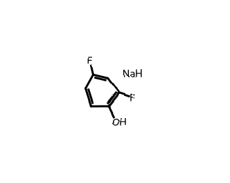 Oc1ccc(F)cc1F.[NaH]